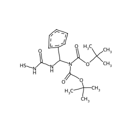 CC(C)(C)OC(=O)N(C(=O)OC(C)(C)C)C(NC(=O)NS)c1ccccc1